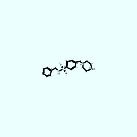 O=S(=O)(NCc1ccccc1)c1ccc(CN2CCNCC2)cc1